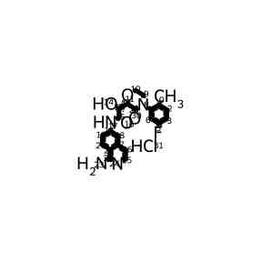 Cc1ccc(F)cc1N1CCO[C@H]([C@@H](O)C(=O)Nc2ccc3c(N)nccc3c2)C1=O.Cl